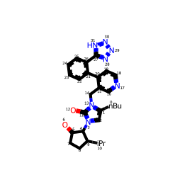 CCCCc1cn(C2C(=O)CCC2C(C)C)c(=O)n1Cc1cnccc1-c1ccccc1-c1nnn[nH]1